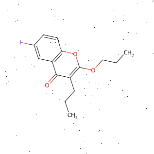 CCCOc1oc2ccc(I)cc2c(=O)c1CCC